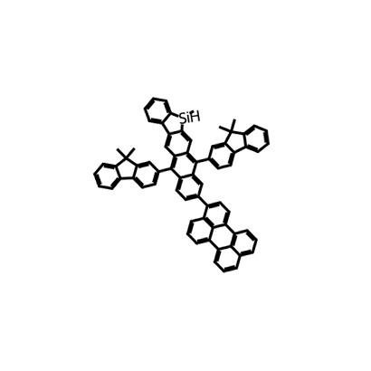 C[SiH]1c2ccccc2-c2cc3c(-c4ccc5c(c4)C(C)(C)c4ccccc4-5)c4ccc(-c5ccc6c7cccc8cccc(c9cccc5c96)c87)cc4c(-c4ccc5c(c4)C(C)(C)c4ccccc4-5)c3cc21